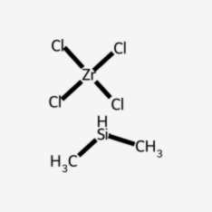 C[SiH]C.[Cl][Zr]([Cl])([Cl])[Cl]